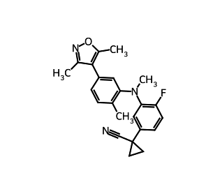 Cc1ccc(-c2c(C)noc2C)cc1N(C)c1cc(C2(C#N)CC2)ccc1F